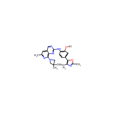 CCOc1cc(-c2oc(C)nc2C)ccc1Nc1ncc2cc(C)nc(N3CC(C)(OC)C3)c2n1